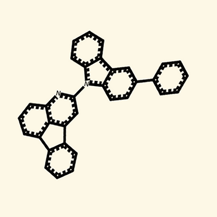 c1ccc(-c2ccc3c(c2)c2ccccc2n3-c2cc3c4c(cccc4n2)-c2ccccc2-3)cc1